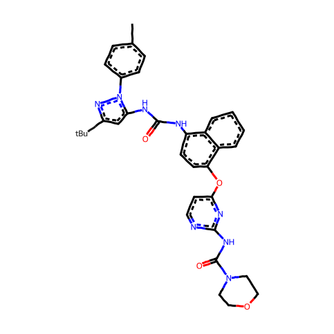 Cc1ccc(-n2nc(C(C)(C)C)cc2NC(=O)Nc2ccc(Oc3ccnc(NC(=O)N4CCOCC4)n3)c3ccccc23)cc1